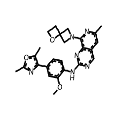 COc1cc(-c2nc(C)oc2C)ccc1Nc1ncc2cc(C)nc(N3CC4(CCO4)C3)c2n1